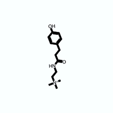 C[N+](C)(C)CCNC(=O)CCc1ccc(O)cc1